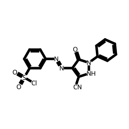 N#Cc1[nH]n(-c2ccccc2)c(=O)c1N=Nc1cccc(S(=O)(=O)Cl)c1